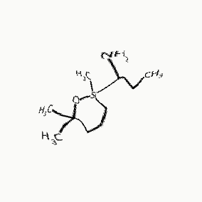 CCC(N)[Si]1(C)CCCC(C)(C)O1